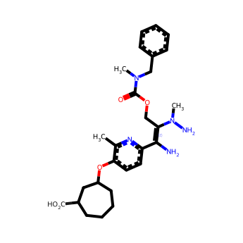 Cc1nc(/C(N)=C(\COC(=O)N(C)Cc2ccccc2)N(C)N)ccc1OC1CCCCC(C(=O)O)C1